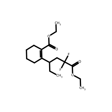 CCOC(=O)C1=C(C(CC)CC(F)(F)C(=O)OCC)CCCC1